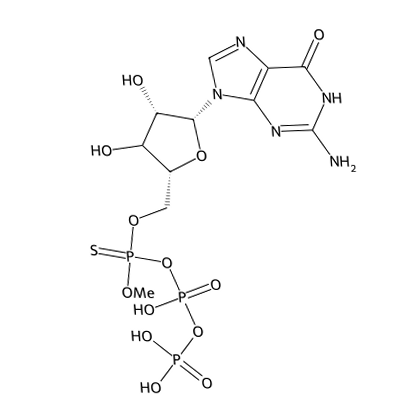 COP(=S)(OC[C@H]1O[C@@H](n2cnc3c(=O)[nH]c(N)nc32)[C@@H](O)C1O)OP(=O)(O)OP(=O)(O)O